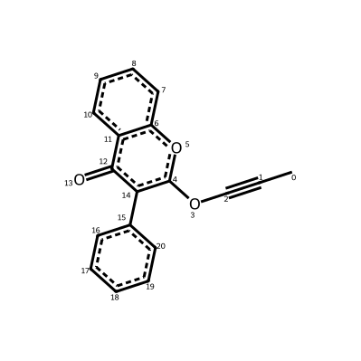 CC#COc1oc2ccccc2c(=O)c1-c1ccccc1